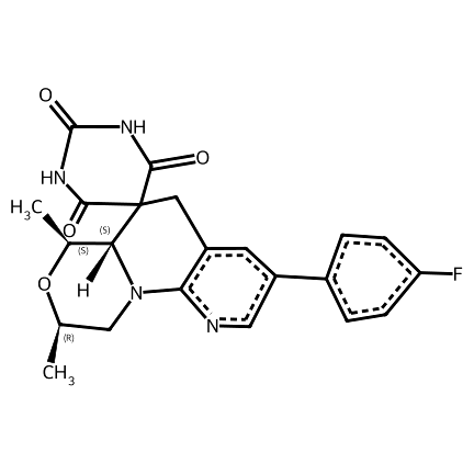 C[C@@H]1CN2c3ncc(-c4ccc(F)cc4)cc3CC3(C(=O)NC(=O)NC3=O)[C@H]2[C@H](C)O1